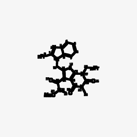 CCCc1nc2ccccc2n1Cc1sc2c(c1C(=O)N(C)OC)c(=O)n(C)c(=O)n2CC(C)C